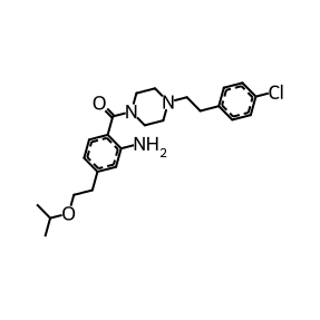 CC(C)OCCc1ccc(C(=O)N2CCN(CCc3ccc(Cl)cc3)CC2)c(N)c1